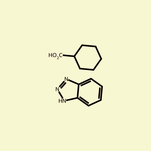 O=C(O)C1CCCCC1.c1ccc2[nH]nnc2c1